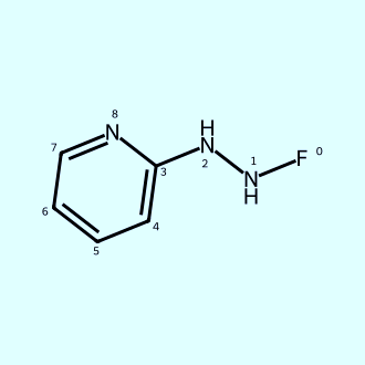 FNNc1ccccn1